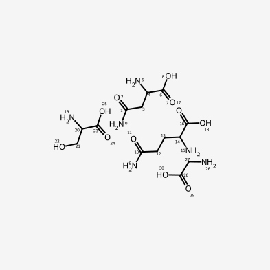 NC(=O)CC(N)C(=O)O.NC(=O)CCC(N)C(=O)O.NC(CO)C(=O)O.NCC(=O)O